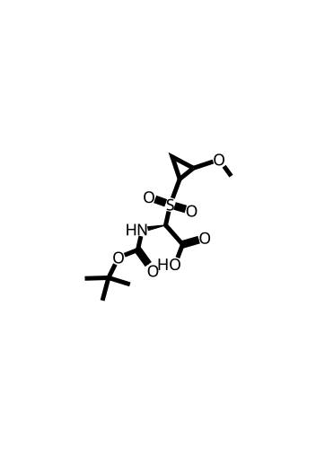 COC1CC1S(=O)(=O)[C@H](NC(=O)OC(C)(C)C)C(=O)O